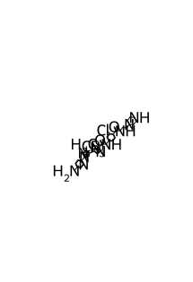 Cn1c(-c2cn(-c3ccc(N)cn3)nc2C(F)(F)F)cnc1C(=O)Nc1ccc(C(=O)NCCN2CCNCC2)c(Cl)c1